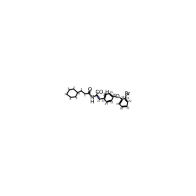 O=C(CCC1CCCCC1)N/C(=C/c1ccc(Oc2ccccc2Br)cc1)C(=O)O